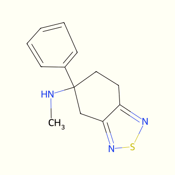 CNC1(c2ccccc2)CCc2nsnc2C1